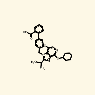 CC(C)c1nc2c(SC3CCCCC3)nnc(O)c2n1Cc1ccc(-c2ccccc2C(=O)O)cc1